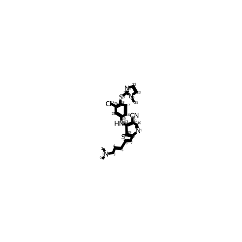 CN(C)CC=Cc1cc2ncc(C#N)c(Nc3ccc(Sc4nccn4C)c(Cl)c3)c2s1